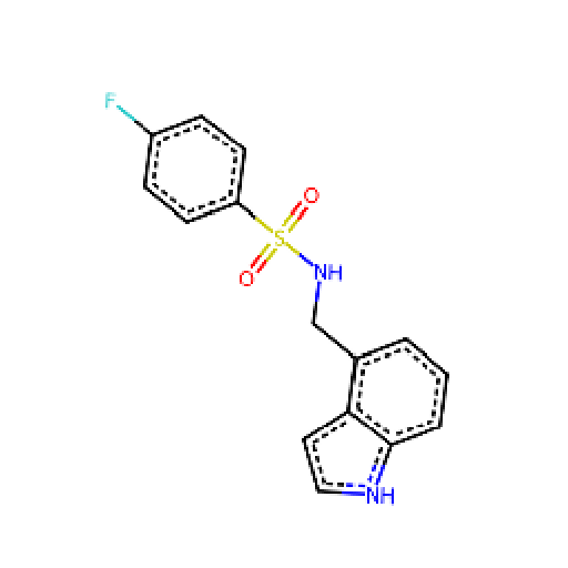 O=S(=O)(NCc1cccc2[nH]ccc12)c1ccc(F)cc1